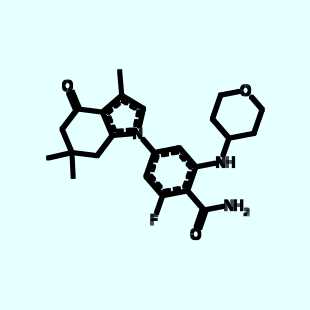 Cc1cn(-c2cc(F)c(C(N)=O)c(NC3CCOCC3)c2)c2c1C(=O)CC(C)(C)C2